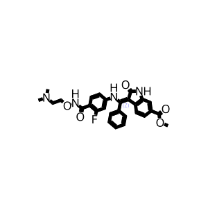 COC(=O)c1ccc2c(c1)NC(=O)/C2=C(\Nc1ccc(C(=O)NOCCN(C)C)c(F)c1)c1ccccc1